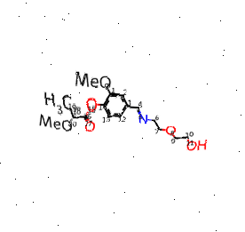 COc1cc(/C=N/CCOCCO)ccc1OC(=O)[C@@H](C)OC